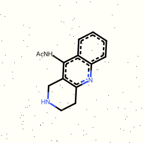 CC(=O)Nc1c2c(nc3ccccc13)CCNC2